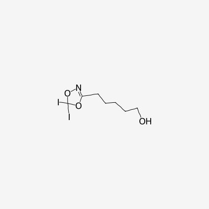 OCCCCCC1=NOC(I)(I)O1